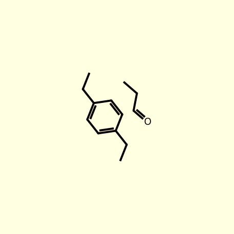 CCC=O.CCc1ccc(CC)cc1